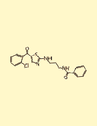 O=C(NCCCNc1ncc(C(=O)c2ccccc2Cl)s1)c1ccccc1